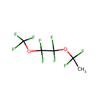 CC(F)(F)OC(F)(F)C(F)(F)OC(F)(F)F